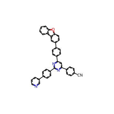 N#Cc1ccc(-c2cc(-c3ccc(-c4ccc5oc6ccccc6c5c4)cc3)nc(-c3ccc(-c4cccnc4)cc3)n2)cc1